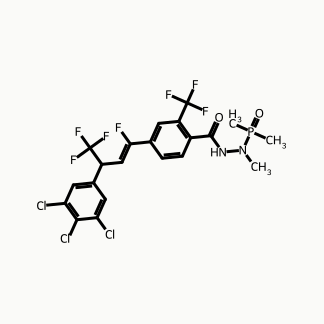 CN(NC(=O)c1ccc(/C(F)=C/C(c2cc(Cl)c(Cl)c(Cl)c2)C(F)(F)F)cc1C(F)(F)F)P(C)(C)=O